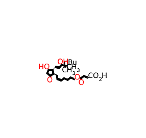 CCCCC(C)(C)[C@H](O)/C=C/[C@H]1[C@H](O)CC(=O)[C@@H]1C/C=C\CCCCOC(=O)CCC(=O)O